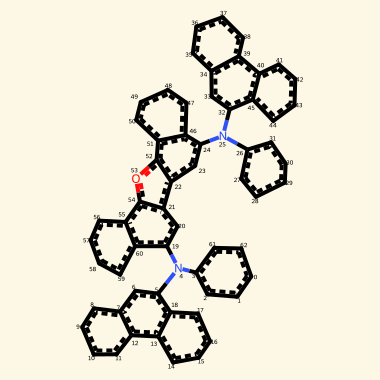 c1ccc(N(c2cc3ccccc3c3ccccc23)c2cc3c4cc(N(c5ccccc5)c5cc6ccccc6c6ccccc56)c5ccccc5c4oc3c3ccccc23)cc1